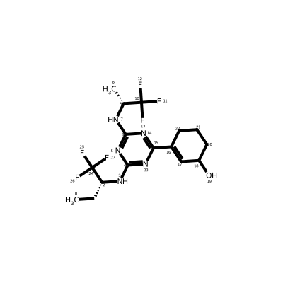 CC[C@@H](Nc1nc(N[C@H](C)C(F)(F)F)nc(C2=CC(O)CCC2)n1)C(F)(F)F